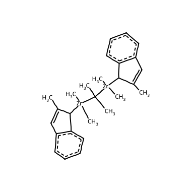 CC1=Cc2ccccc2[CH]1[Zr]([CH3])([CH3])[C](C)(C)[Zr]([CH3])([CH3])[CH]1C(C)=Cc2ccccc21